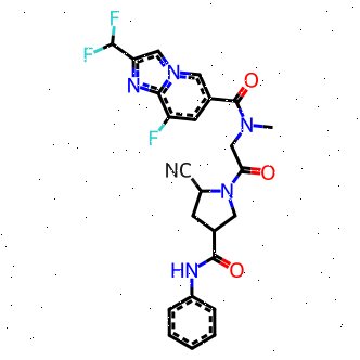 CN(CC(=O)N1CC(C(=O)Nc2ccccc2)CC1C#N)C(=O)c1cc(F)c2nc(C(F)F)cn2c1